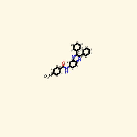 O=C(Nc1ccc2nc(-c3ccccc3)c(-c3ccccc3)nc2c1)c1ccc([N+](=O)[O-])cc1